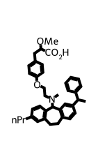 CCCc1ccc2c(c1)CCc1ccc(C(C)c3ccccc3)cc1C2N(C)CCOc1ccc(CC(OC)C(=O)O)cc1